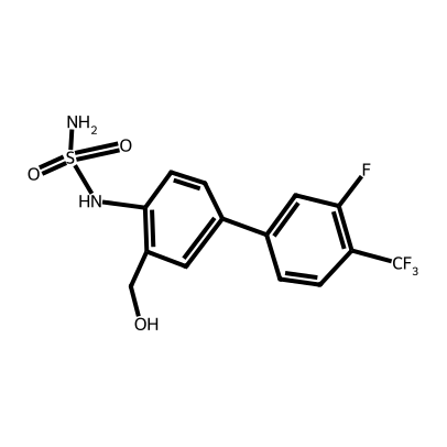 NS(=O)(=O)Nc1ccc(-c2ccc(C(F)(F)F)c(F)c2)cc1CO